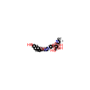 C[C@]12CC[C@@H]3c4ccc(O)cc4CC[C@H]3[C@@H]1CC[C@@]2(O)CCCN1CCN(c2ccc(O[C@H]3O[C@H](CO)[C@H](O)[C@H](O)[C@H]3Oc3cccc(C(F)(F)F)n3)cc2)CC1